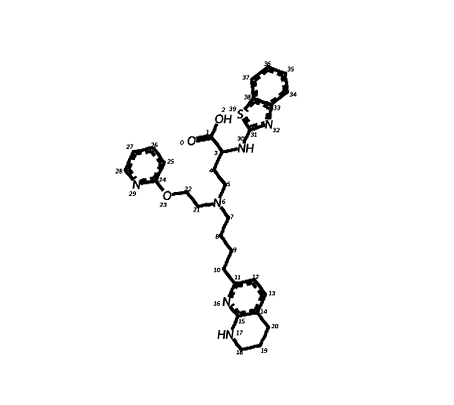 O=C(O)C(CCN(CCCCc1ccc2c(n1)NCCC2)CCOc1ccccn1)Nc1nc2ccccc2s1